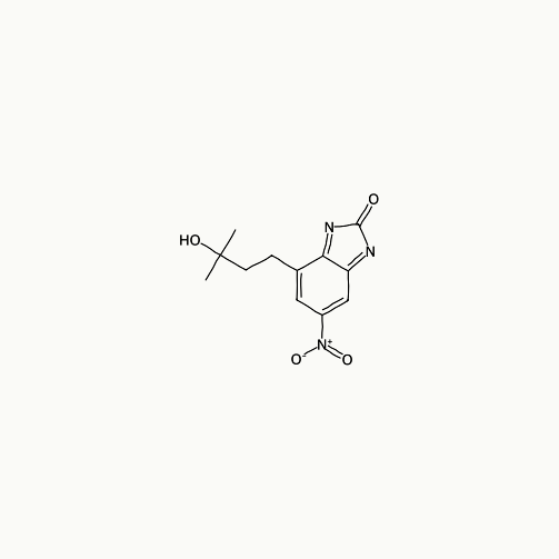 CC(C)(O)CCc1cc([N+](=O)[O-])cc2c1=NC(=O)N=2